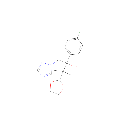 CC(C)(C1OCCO1)C(O)(Cn1cncn1)c1ccc(Cl)cc1